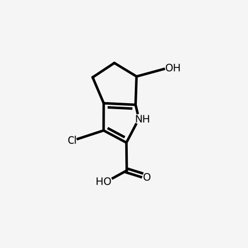 O=C(O)c1[nH]c2c(c1Cl)CCC2O